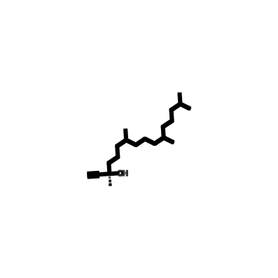 C#C[C@](C)(O)CCCC(C)CCCC(C)CCCC(C)C